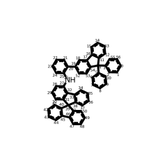 c1ccc(C2(c3ccccc3)c3ccccc3-c3cc(-c4ccccc4Nc4cccc5c4-c4ccccc4C54c5ccccc5-c5ccccc54)ccc32)cc1